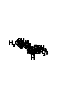 CC(C)(C)OC(=O)c1cccc(-c2cnc3[nH]cc(C(=O)C(C)(C)C)c3n2)c1